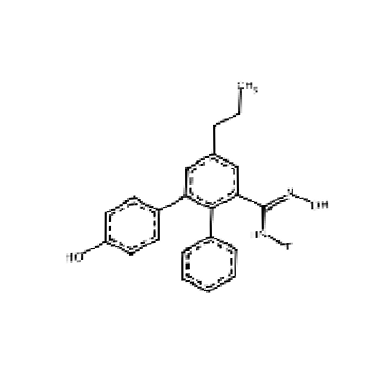 CCCc1cc(C(=NO)NF)c(-c2ccccc2)c(-c2ccc(O)cc2)c1